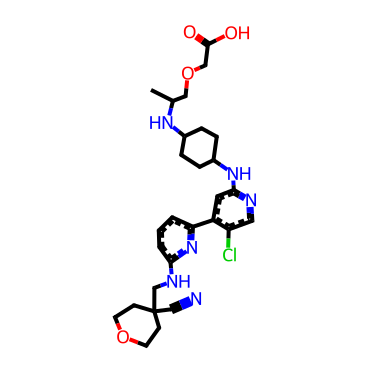 CC(COCC(=O)O)NC1CCC(Nc2cc(-c3cccc(NCC4(C#N)CCOCC4)n3)c(Cl)cn2)CC1